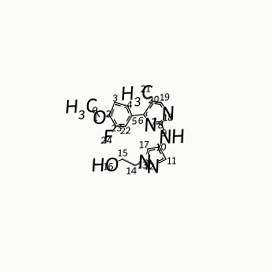 COc1ccc(-c2nc(Nc3cnn(CCO)c3)ncc2C)cc1F